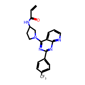 C=CC(=O)NC1CCN(c2nc(-c3ccc(C(F)(F)F)cc3)nc3ncccc23)C1